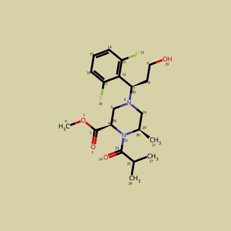 COC(=O)[C@H]1CN([C@H](CCO)c2c(F)cccc2F)C[C@@H](C)N1C(=O)C(C)C